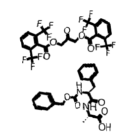 C[C@H](NC(=O)[C@H](Cc1ccccc1)NC(=O)OCc1ccccc1)C(=O)O.O=C(COC(=O)c1c(C(F)(F)F)cccc1C(F)(F)F)COC(=O)c1c(C(F)(F)F)cccc1C(F)(F)F